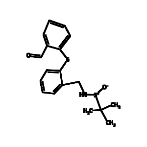 CC(C)(C)[S+]([O-])NCc1ccccc1Sc1ccccc1C=O